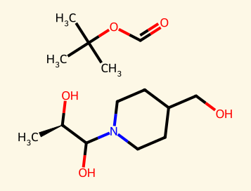 CC(C)(C)OC=O.C[C@@H](O)C(O)N1CCC(CO)CC1